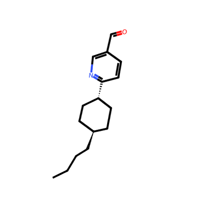 CCCC[C@H]1CC[C@H](c2ccc(C=O)cn2)CC1